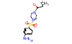 CCC(=O)N1CCN(S(=O)(=O)c2ccc(N)cc2)CC1